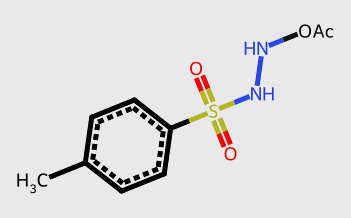 CC(=O)ONNS(=O)(=O)c1ccc(C)cc1